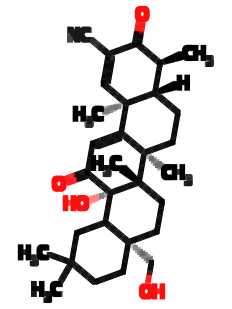 C[C@@H]1C(=O)C(C#N)=C[C@]2(C)C3=CC(=O)[C@]4(O)C5CC(C)(C)CC[C@]5(CO)CC[C@@]4(C)[C@]3(C)CC[C@@H]12